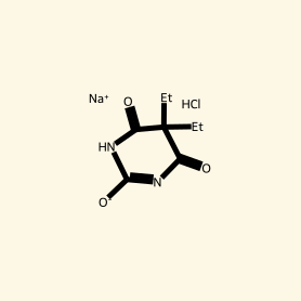 CCC1(CC)C(=O)N=C([O-])NC1=O.Cl.[Na+]